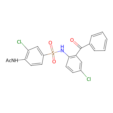 CC(=O)Nc1ccc(S(=O)(=O)Nc2ccc(Cl)cc2C(=O)c2ccccc2)cc1Cl